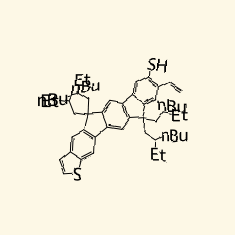 C=Cc1cc2c(cc1S)-c1cc3c(cc1C2(CC(CC)CCCC)CC(CC)CCCC)-c1cc2sccc2cc1C3(CC(CC)CCCC)CC(CC)CCCC